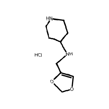 C1=C(CNC2CCNCC2)OCO1.Cl